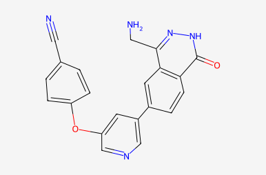 N#Cc1ccc(Oc2cncc(-c3ccc4c(=O)[nH]nc(CN)c4c3)c2)cc1